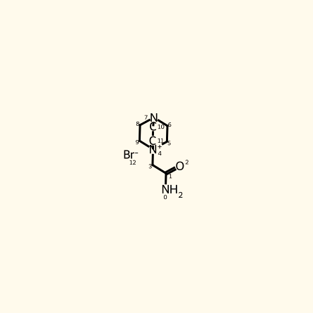 NC(=O)C[N+]12CCN(CC1)CC2.[Br-]